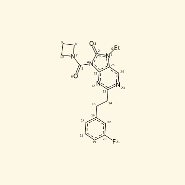 CCn1c(=O)n(C(=O)N2CCC2)c2nc(CCc3cccc(F)c3)ncc21